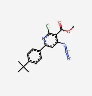 COC(=O)c1c(N=[N+]=[N-])cc(-c2ccc(C(C)(C)C)cc2)nc1Cl